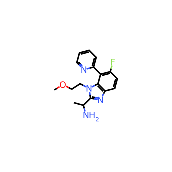 COCCn1c(C(C)N)nc2ccc(F)c(-c3ccccn3)c21